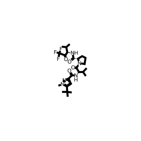 CC(C)[C@H](NC(=O)c1cc(C(C)(C)C)n(C)n1)C(=O)N1CCC[C@H]1C(=O)N[C@H](C(=O)C(F)(F)F)C(C)C